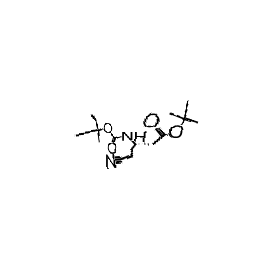 CC(C)(C)OC(=O)C[C@H](CC#N)NC(=O)OC(C)(C)C